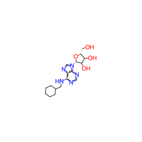 OC[C@H]1O[C@@H](n2cnc3c(NCC4CCCCC4)ncnc32)[C@H](O)[C@@H]1O